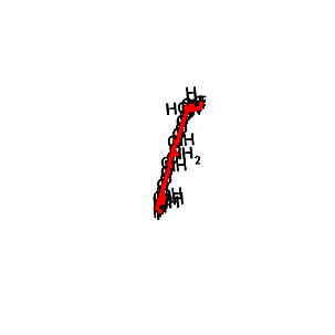 NC(COCCC(=O)NCCOCCOCCOCCOC[C@H]1OCC(Nc2nccc(C(F)(F)F)n2)[C@@H](O)[C@H]1O)COCCC(=O)NCCOCCOCCOCCOC[C@H]1OCC(Nc2nccc(C(F)(F)F)n2)[C@@H](O)[C@H]1O